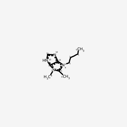 CCCC[n+]1c(C)n(C)c2[nH]cnc21